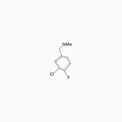 CNCc1ccc(F)c(Cl)c1